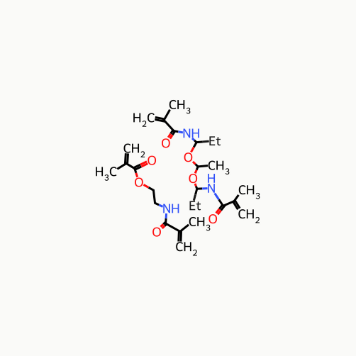 C=C(C)C(=O)NC(CC)OC(C)OC(CC)NC(=O)C(=C)C.C=C(C)C(=O)NCCOC(=O)C(=C)C